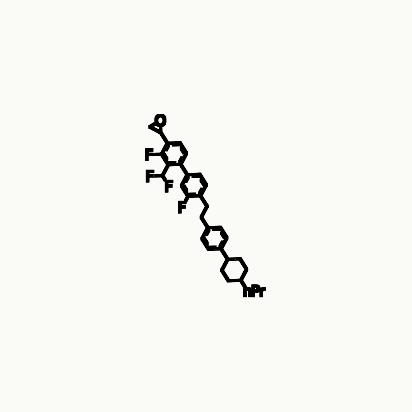 CCCC1CCC(c2ccc(CCc3ccc(-c4ccc(C5CO5)c(F)c4C(F)F)cc3F)cc2)CC1